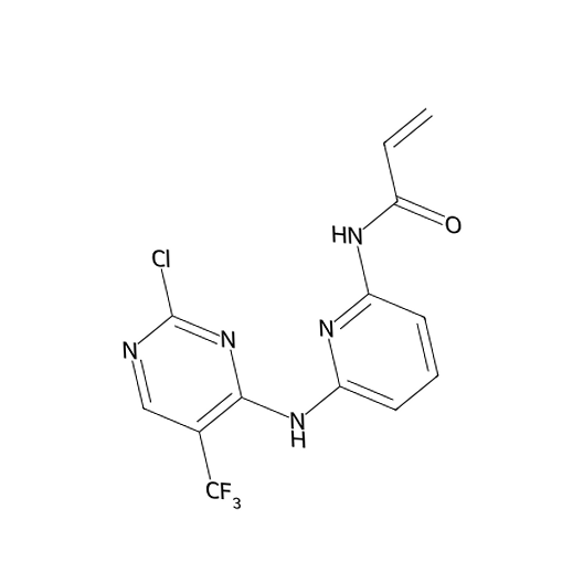 C=CC(=O)Nc1cccc(Nc2nc(Cl)ncc2C(F)(F)F)n1